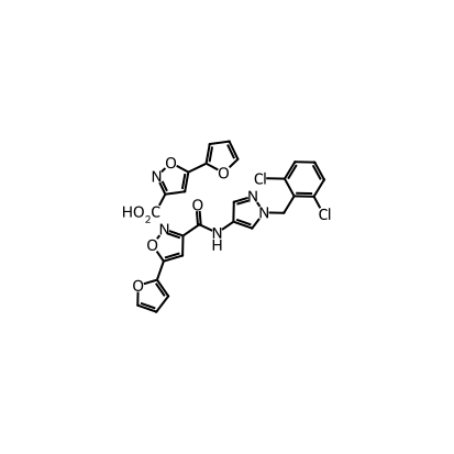 O=C(Nc1cnn(Cc2c(Cl)cccc2Cl)c1)c1cc(-c2ccco2)on1.O=C(O)c1cc(-c2ccco2)on1